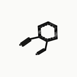 [C]#Cc1ccccc1C=[CH]